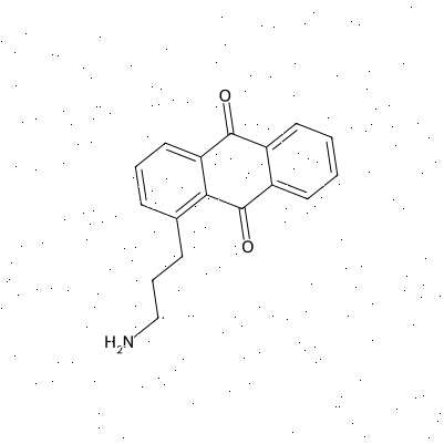 N[CH]CCc1cccc2c1C(=O)c1ccccc1C2=O